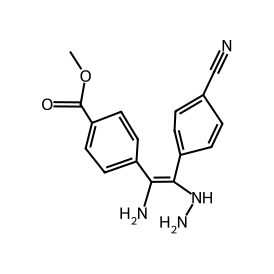 COC(=O)c1ccc(/C(N)=C(/NN)c2ccc(C#N)cc2)cc1